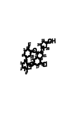 Cn1ccn(-c2ccc(F)c(O[C@H]3c4cc(Cl)cc(Cl)c4C[C@@H]3N3CCC(O)C3)c2)c1=O